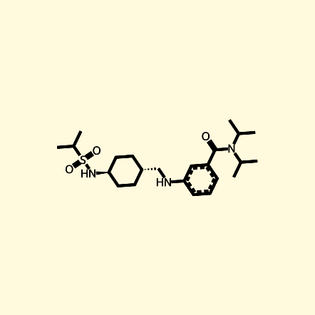 CC(C)N(C(=O)c1cccc(NC[C@H]2CC[C@H](NS(=O)(=O)C(C)C)CC2)c1)C(C)C